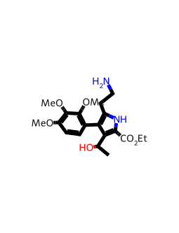 CCOC(=O)c1[nH]c(CCN)c(-c2ccc(OC)c(OC)c2OC)c1C(C)O